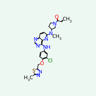 C=CC(=O)N1CCC(N(C)c2ccc3ncnc(Nc4ccc(OCc5nnc(C)s5)c(Cl)c4)c3n2)C1